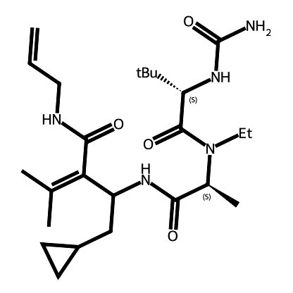 C=CCNC(=O)C(=C(C)C)C(CC1CC1)NC(=O)[C@H](C)N(CC)C(=O)[C@@H](NC(N)=O)C(C)(C)C